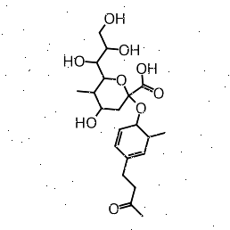 CC(=O)CCC1=CC(C)C(OC2(C(=O)O)CC(O)C(C)C(C(O)C(O)CO)O2)C=C1